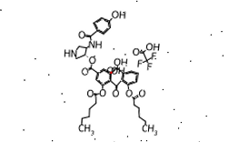 CCCCCC(=O)Oc1cc(C(=O)O[C@@H]2CNC[C@H]2NC(=O)c2ccc(O)cc2)cc(O)c1C(=O)c1c(OC(=O)CCCCC)cccc1C(=O)O.O=C(O)C(F)(F)F